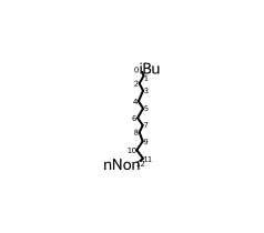 [CH2]C(CC)CCCCCCCCCCCCCCCCCCCC